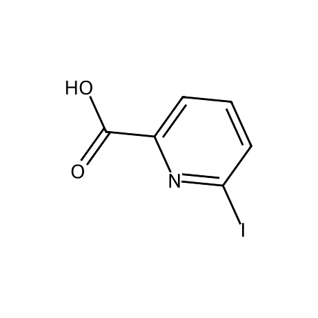 O=C(O)c1cccc(I)n1